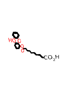 O=C(O)CCCCCCCCC(=O)Oc1ccccc1Oc1ccccc1O